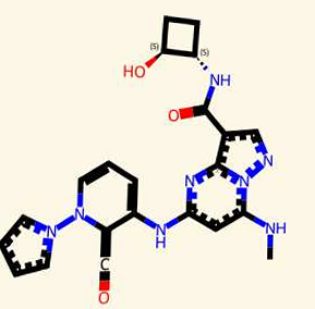 CNc1cc(NC2=CC=CN(n3cccc3)C2=C=O)nc2c(C(=O)N[C@H]3CC[C@@H]3O)cnn12